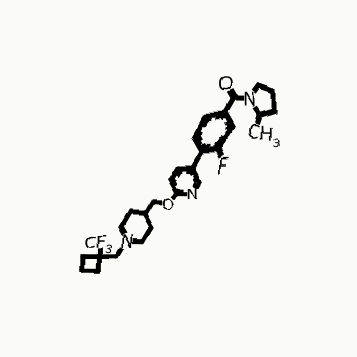 CC1CCCN1C(=O)c1ccc(-c2ccc(OCC3CCN(CC4(C(F)(F)F)CCC4)CC3)nc2)c(F)c1